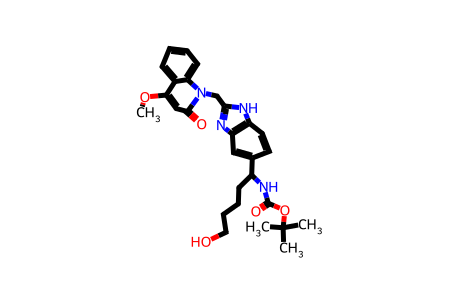 COc1cc(=O)n(Cc2nc3cc(C(CCCCO)NC(=O)OC(C)(C)C)ccc3[nH]2)c2ccccc12